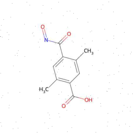 Cc1cc(C(=O)N=O)c(C)cc1C(=O)O